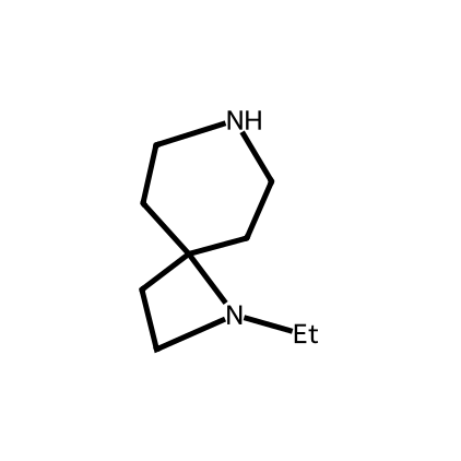 CCN1CCC12CCNCC2